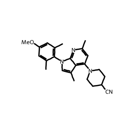 COc1cc(C)c(-n2cc(C)c3c(N4CCC(C#N)CC4)cc(C)nc32)c(C)c1